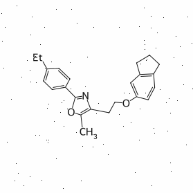 CCc1ccc(-c2nc(CCOc3ccc4c(c3)CCC4)c(C)o2)cc1